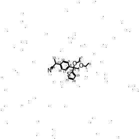 CCOCC(OCC)(c1ccc(C(C)C#N)cc1)c1cccs1